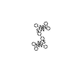 c1ccc(-c2nc(-n3c4ccccc4c4ccccc43)nc3c2sc2ccc(-c4ccc5sc6c(-c7ccccc7)nc(-n7c8ccccc8c8ccccc87)nc6c5c4)cc23)cc1